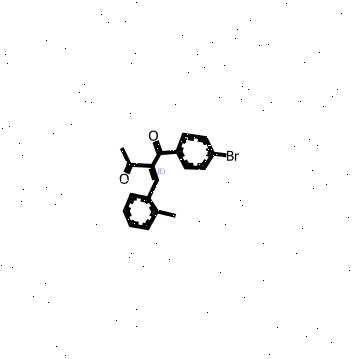 CC(=O)/C(=C\c1ccccc1C)C(=O)c1ccc(Br)cc1